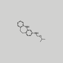 CC(C)OCNc1ccc2c(c1)Nc1ccccc1CC2